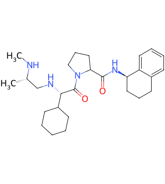 CN[C@@H](C)CN[C@H](C(=O)N1CCCC1C(=O)N[C@@H]1CCCc2ccccc21)C1CCCCC1